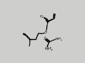 C=CC(=O)OCCC(=C)C.NC(N)=S